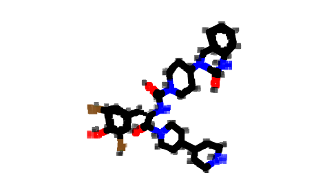 O=C(N[C@@H](Cc1cc(Br)c(O)c(Br)c1)C(=O)N1CCC(C2CCNCC2)CC1)N1CCC(N2Cc3ccccc3NC2=O)CC1